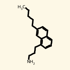 CCCCCc1ccc2cccc(CCCN)c2c1